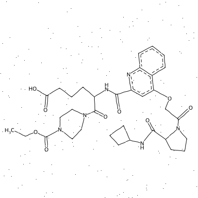 CCOC(=O)N1CCN(C(=O)C(CCCC(=O)O)NC(=O)c2cc(OCC(=O)N3CCCC3C(=O)NC3CCC3)c3ccccc3n2)CC1